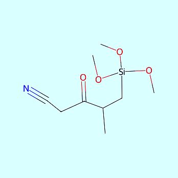 CO[Si](CC(C)C(=O)CC#N)(OC)OC